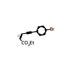 CCOC(=O)/C=C\C#Cc1ccc(Br)cc1